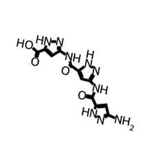 Nc1cc(C(=O)Nc2cc(C(=O)Nc3cc(C(=O)O)[nH]n3)[nH]n2)[nH]n1